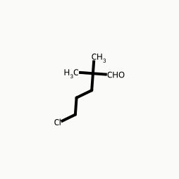 CC(C)(C=O)CCCCl